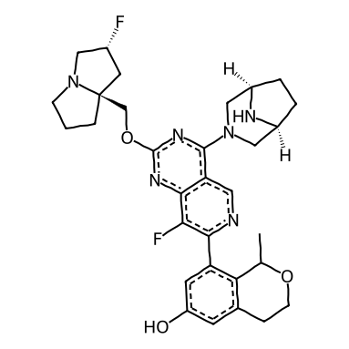 CC1OCCc2cc(O)cc(-c3ncc4c(N5C[C@H]6CC[C@@H](C5)N6)nc(OC[C@@]56CCCN5C[C@H](F)C6)nc4c3F)c21